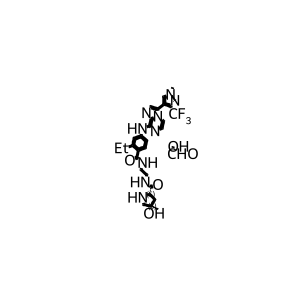 CCc1cc(Nc2nccn3c(-c4cn(C)nc4C(F)(F)F)cnc23)ccc1C(=O)NCCNC(=O)[C@@H]1C[C@](C)(O)CN1.O=CO